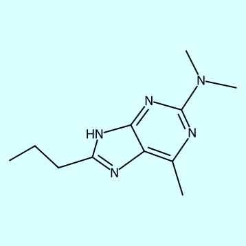 CCCc1nc2c(C)nc(N(C)C)nc2[nH]1